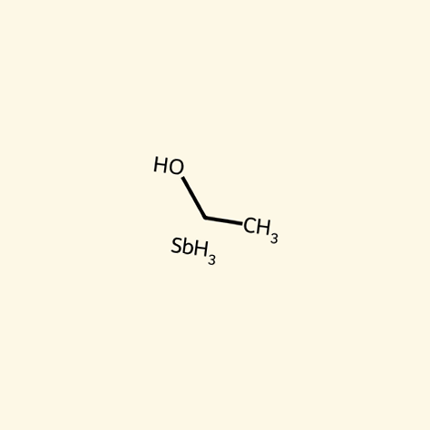 CCO.[SbH3]